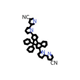 N#Cc1cncc(-c2cccc(-c3ccc4c(c3)C(c3ccccc3)(c3ccccc3)c3cc(-c5cccc(-c6cc(C#N)ccn6)n5)c5ccccc5c3-4)n2)c1